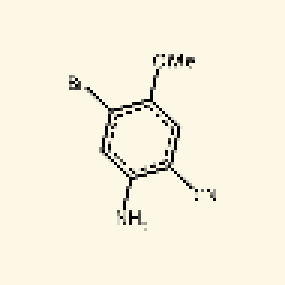 COc1cc(C#N)c(N)cc1Br